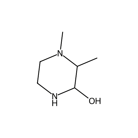 CC1C(O)NCCN1C